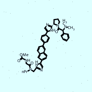 CCCN(Cc1ncc(-c2ccc3cc(-c4ccc(-c5cnc([C@@H]6CCCN6C(=O)C(c6ccccc6)N(C)C)[nH]5)cc4)ccc3c2)[nH]1)C(=O)CNC(=O)OC